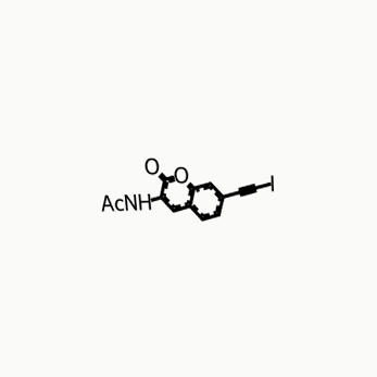 CC(=O)Nc1cc2ccc(C#CI)cc2oc1=O